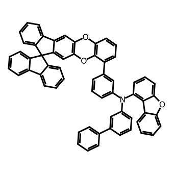 c1ccc(-c2cccc(N(c3cccc(-c4cccc5c4Oc4cc6c(cc4O5)-c4ccccc4C64c5ccccc5-c5ccccc54)c3)c3cccc4oc5ccccc5c34)c2)cc1